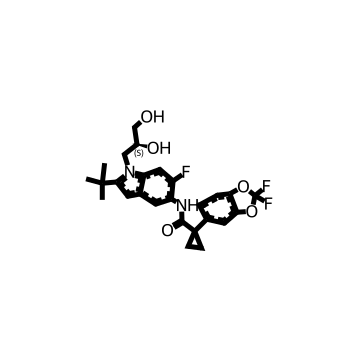 CC(C)(C)c1cc2cc(NC(=O)C3(c4ccc5c(c4)OC(F)(F)O5)CC3)c(F)cc2n1C[C@H](O)CO